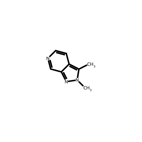 Cc1c2ccncc2nn1C